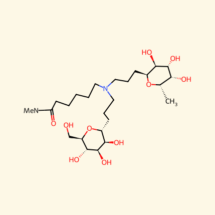 CNC(=O)CCCCCN(CCC[C@@H]1O[C@@H](C)[C@@H](O)[C@@H](O)[C@@H]1O)CCC[C@H]1O[C@H](CO)[C@@H](O)[C@H](O)[C@@H]1O